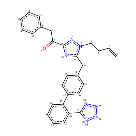 C=CCCn1nc(C(=O)Cc2ccccc2)nc1Cc1ccc(-c2ccccc2-c2nnn[nH]2)cc1